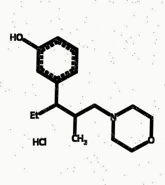 CCC(c1cccc(O)c1)C(C)CN1CCOCC1.Cl